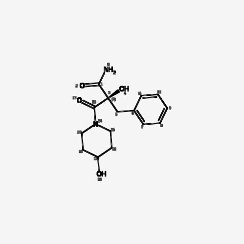 NC(=O)[C@](O)(Cc1ccccc1)C(=O)N1CCC(O)CC1